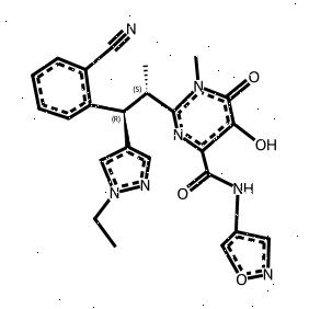 CCn1cc([C@@H](c2ccccc2C#N)[C@H](C)c2nc(C(=O)Nc3cnoc3)c(O)c(=O)n2C)cn1